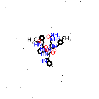 C=CC(=O)N[C@@H](Cc1ccccc1)C(=O)N1CCCC[C@H]1C(=O)N[C@@H](Cc1c[nH]c2ccccc12)C(=O)N[C@@H](CCCNC(N)=O)C(=O)NCc1ccc(C)cc1